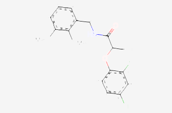 COc1cccc(CNC(=O)C(C)Oc2ccc(Cl)cc2Cl)c1OC